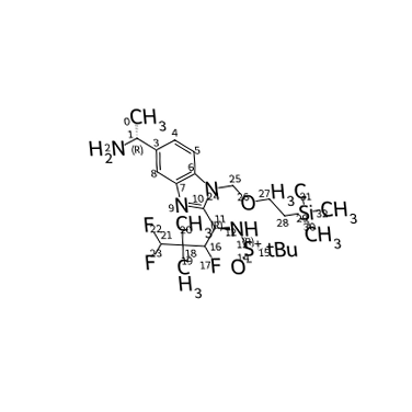 C[C@@H](N)c1ccc2c(c1)nc([C@@H](N[S@@+]([O-])C(C)(C)C)C(F)C(C)(C)C(F)F)n2COCC[Si](C)(C)C